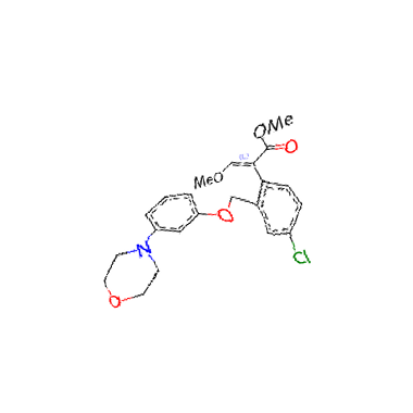 CO/C=C(/C(=O)OC)c1ccc(Cl)cc1COc1cccc(N2CCOCC2)c1